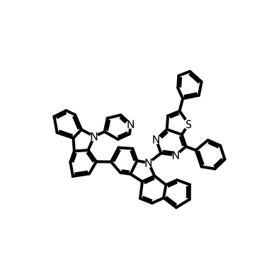 c1ccc(-c2cc3nc(-n4c5ccc(-c6cccc7c8ccccc8n(-c8ccncc8)c67)cc5c5ccc6ccccc6c54)nc(-c4ccccc4)c3s2)cc1